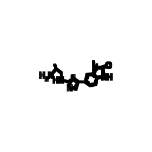 CC(N)CNc1ncc(-c2ccc3[nH]c(=O)n(C)c3c2)s1